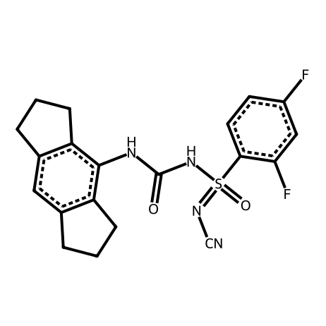 N#CN=S(=O)(NC(=O)Nc1c2c(cc3c1CCC3)CCC2)c1ccc(F)cc1F